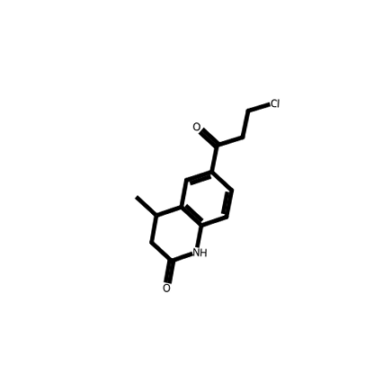 CC1CC(=O)Nc2ccc(C(=O)CCCl)cc21